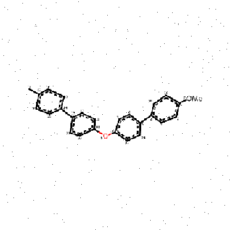 COc1ccc(-c2ccc(Oc3ccc(-c4ccc(C)cc4)cc3)cc2)cc1